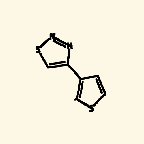 [c]1sccc1-c1csnn1